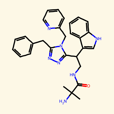 CC(C)(N)C(=O)NCC(c1c[nH]c2ccccc12)c1nnc(Cc2ccccc2)n1Cc1ccccn1